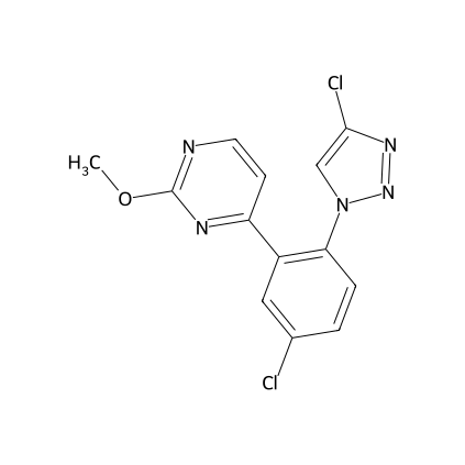 COc1nccc(-c2cc(Cl)ccc2-n2cc(Cl)nn2)n1